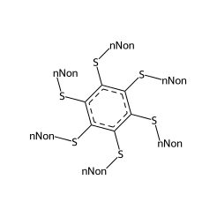 CCCCCCCCCSc1c(SCCCCCCCCC)c(SCCCCCCCCC)c(SCCCCCCCCC)c(SCCCCCCCCC)c1SCCCCCCCCC